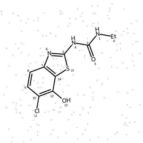 CCNC(=O)Nc1nc2ccc(Cl)c(O)c2s1